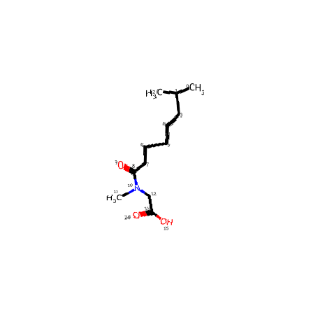 CC(C)CCCCCC(=O)N(C)CC(=O)O